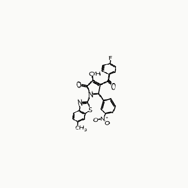 Cc1ccc2nc(N3C(=O)C(O)=C(C(=O)c4ccc(F)cc4)C3c3cccc([N+](=O)[O-])c3)sc2c1